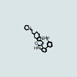 O=C1Nc2cccc(-c3cccc(F)c3)c2/C1=C/c1cc2c([nH]1)CCC(CCN1CCCC1)C2